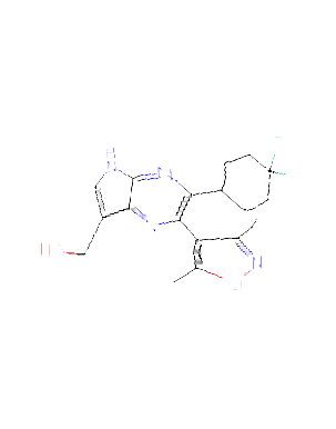 Cc1noc(C)c1-c1nc2c(CO)c[nH]c2nc1C1CCC(F)(F)CC1